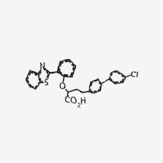 O=C(O)C(CCc1ccc(-c2ccc(Cl)cc2)cc1)Oc1ccccc1-c1nc2ccccc2s1